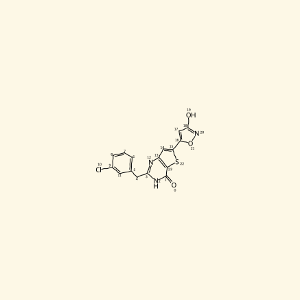 O=c1[nH]c(Cc2cccc(Cl)c2)nc2cc(-c3cc(O)no3)sc12